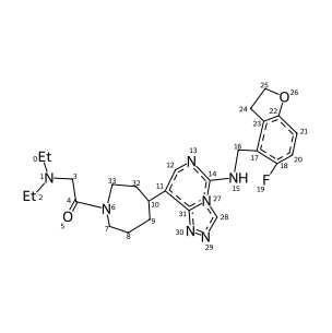 CCN(CC)CC(=O)N1CCCC(c2cnc(NCc3c(F)ccc4c3CCO4)n3cnnc23)CC1